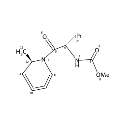 COC(=O)N[C@H](C(=O)N1C=C=C=C[C@H]1C)C(C)C